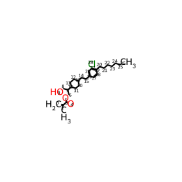 C=C(C)C(=O)OCC(CO)C1CCC(CCc2ccc(CCCCCCC)c(Cl)c2)CC1